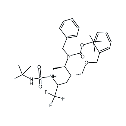 C[C@H]([C@H](COCc1ccccc1)CC(NS(=O)(=O)NC(C)(C)C)C(F)(F)F)N(Cc1ccccc1)C(=O)OC(C)(C)C